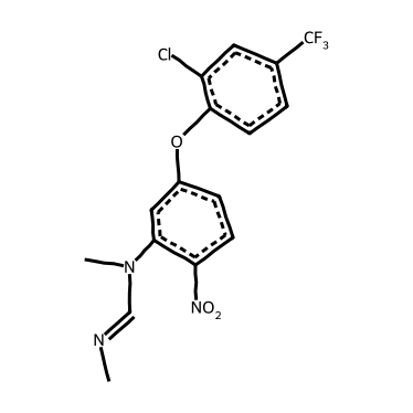 CN=CN(C)c1cc(Oc2ccc(C(F)(F)F)cc2Cl)ccc1[N+](=O)[O-]